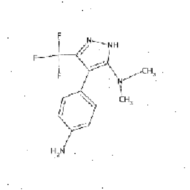 CN(C)c1[nH]nc(C(F)(F)F)c1-c1ccc(N)cc1